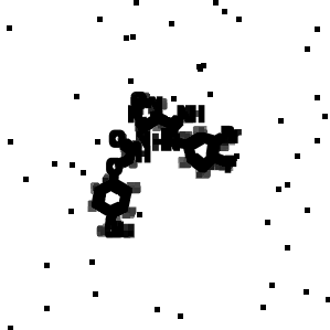 CC(C)(C)c1ccc(OCC(=O)Nc2nonc2C(=N)Nc2ccc(F)c(Br)c2)cc1